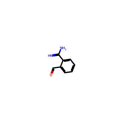 N=C(N)c1ccccc1[C]=O